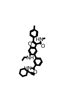 C#CC1(NC(=O)c2cccc(-c3cc4c(C(=O)NC)c(-c5ccc(C)cc5)oc4cc3NCC)c2)CCCCC1